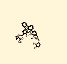 COc1nc([C@@]2(Nc3nccc(CNC4(C(=O)O)CC4)c3F)C=CC=C(c3ccccc3)C2(Cl)Cl)ccc1CNCC1CCC(=O)N1